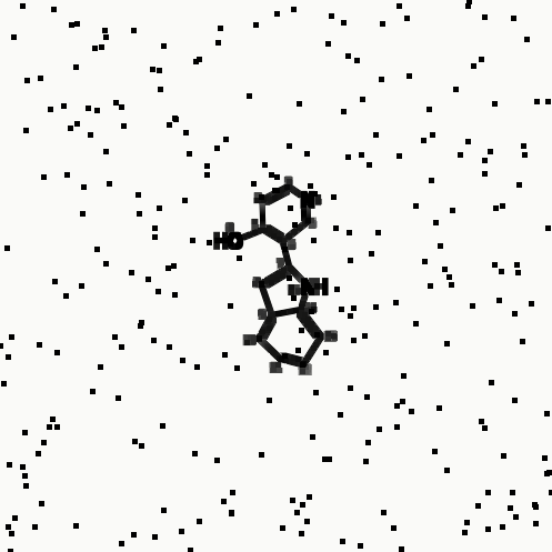 Oc1ccncc1-c1cc2ccccc2[nH]1